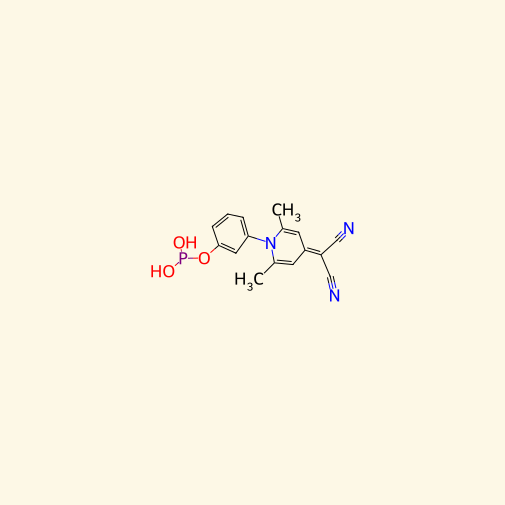 CC1=CC(=C(C#N)C#N)C=C(C)N1c1cccc(OP(O)O)c1